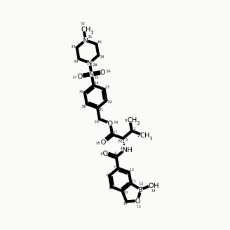 CC(C)[C@H](NC(=O)c1ccc2c(c1)B(O)OC2)C(=O)OCc1ccc(S(=O)(=O)N2CCN(C)CC2)cc1